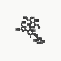 Cc1cn([C@H]2C[C@H](O)[C@@H](CO)O2)c(=O)[nH]c1=O.O=CC(O)C(O)C(O)C(O)CO.O=[PH](O)O[PH](=O)O